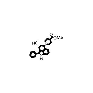 COC(=O)C1CCN(C2CCc3c(-c4ccccc4)[nH]c4cccc2c34)CC1.Cl